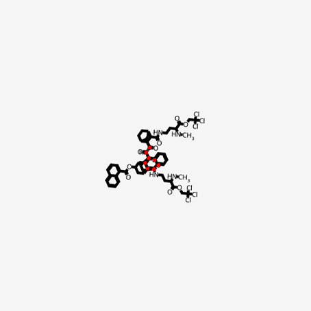 CNC(CCNC(=O)C1C2CCC(C(OC(=O)c3cccc4ccccc34)C2)C1C(=O)NC(=O)C1C2CCC(CC2OC(=O)c2cccc3ccccc23)C1C(=O)NCCC(NC)C(=O)OCC(Cl)(Cl)Cl)C(=O)OCC(Cl)(Cl)Cl